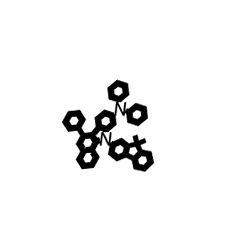 CC1(C)c2ccccc2-c2ccc(-n3c4cc(N(c5ccccc5)c5ccccc5)ccc4c4c(-c5ccccc5)cc5ccccc5c43)cc21